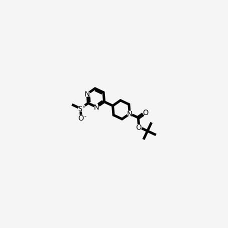 C[S+]([O-])c1nccc(C2CCN(C(=O)OC(C)(C)C)CC2)n1